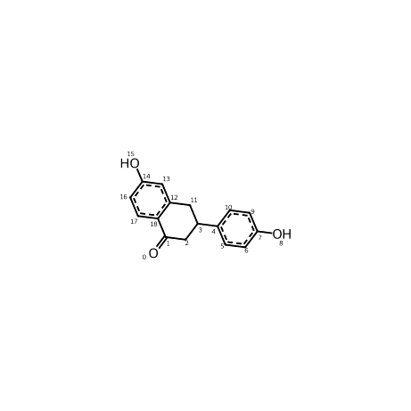 O=C1CC(c2ccc(O)cc2)Cc2cc(O)ccc21